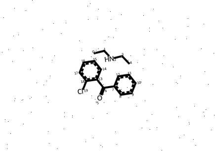 CCNCC.O=C(c1ccccc1)c1ccccc1Cl